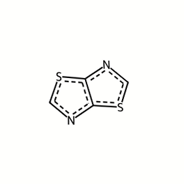 c1nc2scnc2s1